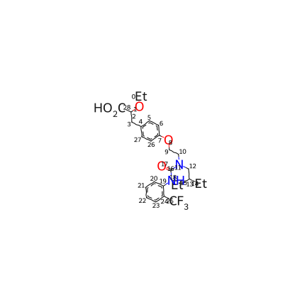 CCOC(Cc1ccc(OCCN(CC(CC)CC)C(=O)Nc2ccccc2C(F)(F)F)cc1)C(=O)O